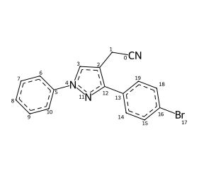 N#CCc1cn(-c2ccccc2)nc1-c1ccc(Br)cc1